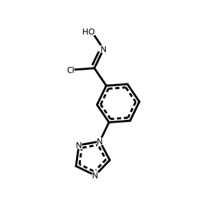 ON=C(Cl)c1cccc(-n2cncn2)c1